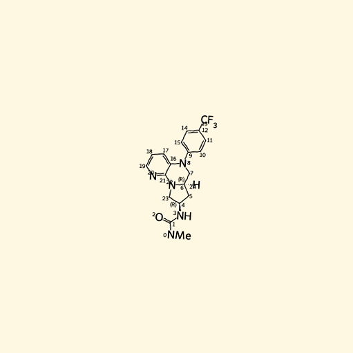 CNC(=O)N[C@@H]1C[C@@H]2CN(c3ccc(C(F)(F)F)cc3)c3cccnc3N2C1